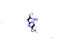 Cc1cn2[nH]c(C(C)C)cc2n1